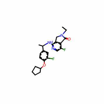 CCN1Cc2c(NC(C)c3ccc(OC4CCCC4)c(F)c3)ncc(F)c2C1=O